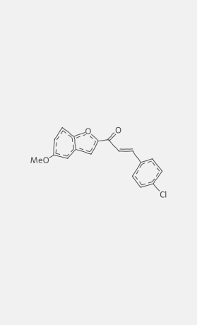 COc1ccc2oc(C(=O)/C=C/c3ccc(Cl)cc3)cc2c1